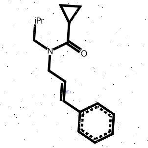 CC(C)CN(C/C=C/c1ccccc1)C(=O)C1CC1